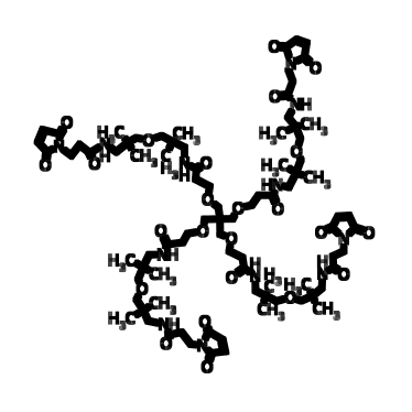 CC(C)(CNC(=O)CCOCC(COCCC(=O)NCC(C)(C)COCC(C)(C)CNC(=O)CCN1C(=O)C=CC1=O)(COCCC(=O)NCC(C)(C)COCC(C)(C)CNC(=O)CCN1C(=O)C=CC1=O)COCCC(=O)NCC(C)(C)COCC(C)(C)CNC(=O)CCN1C(=O)C=CC1=O)COCC(C)(C)CNC(=O)CCN1C(=O)C=CC1=O